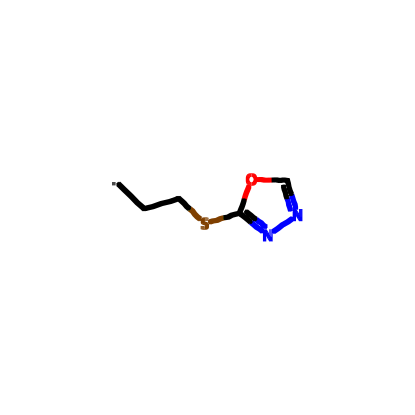 [CH2]CCSc1nnco1